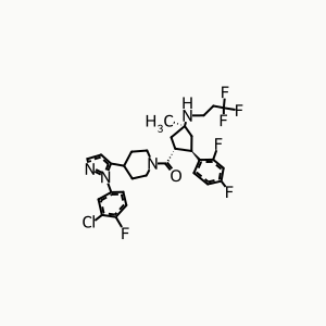 C[C@@]1(NCCC(F)(F)F)C[C@@H](C(=O)N2CCC(c3ccnn3-c3ccc(F)c(Cl)c3)CC2)[C@H](c2ccc(F)cc2F)C1